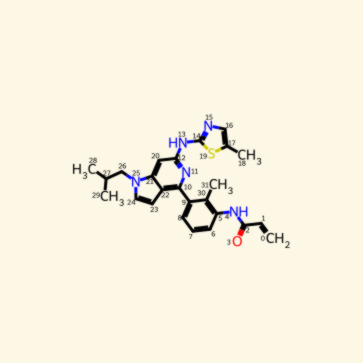 C=CC(=O)Nc1cccc(-c2nc(Nc3ncc(C)s3)cc3c2ccn3CC(C)C)c1C